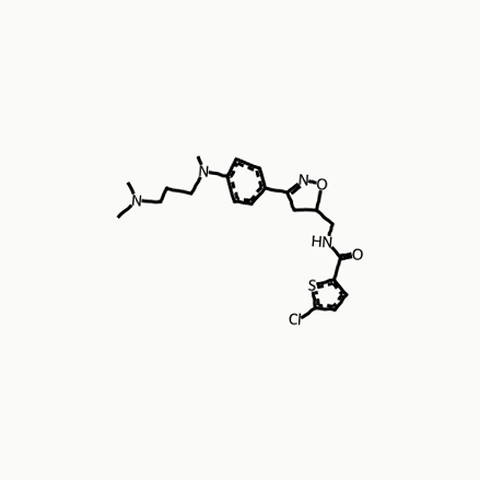 CN(C)CCCN(C)c1ccc(C2=NOC(CNC(=O)c3ccc(Cl)s3)C2)cc1